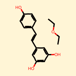 CCOCC.Oc1ccc(/C=C/c2cc(O)cc(O)c2)cc1